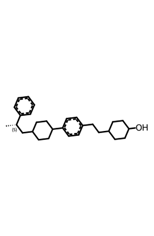 C[C@@H](CC1CCC(c2ccc(CCC3CCC(O)CC3)cc2)CC1)c1ccccc1